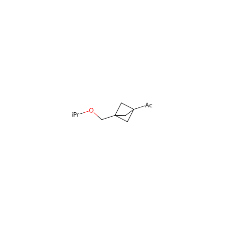 CC(=O)C12CC(COC(C)C)(C1)C2